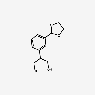 OCC(CO)c1cccc(C2OCCO2)c1